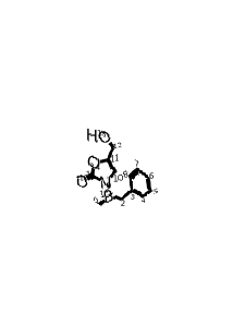 CB(Cc1ccccc1)N1CC(CO)OC1=O